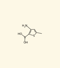 Cc1cc(N)c(B(O)O)s1